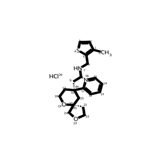 Cc1ccsc1CNCC[C@@]1(c2ccccn2)CCO[C@@]2(CCOC2)C1.Cl